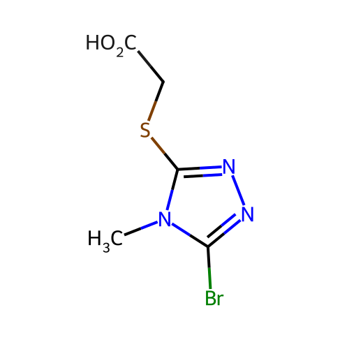 Cn1c(Br)nnc1SCC(=O)O